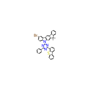 CC1(C)c2ccccc2-c2cc3c4cc(Br)ccc4n(-c4nc(-c5ccccc5)nc(-c5cccc6c5sc5ccccc56)n4)c3cc21